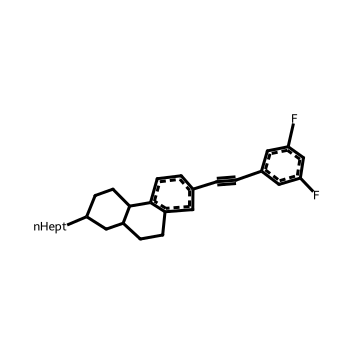 CCCCCCCC1CCC2c3ccc(C#Cc4cc(F)cc(F)c4)cc3CCC2C1